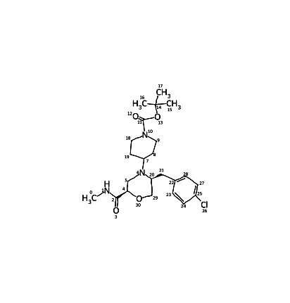 CNC(=O)[C@H]1CN(C2CCN(C(=O)OC(C)(C)C)CC2)[C@@H](Cc2ccc(Cl)cc2)CO1